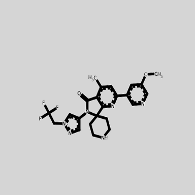 COc1cncc(-c2cc(C)c3c(n2)C2(CCNCC2)N(c2cnn(CC(F)(F)F)c2)C3=O)c1